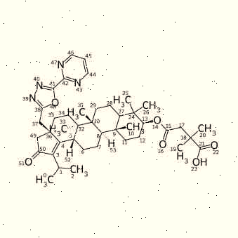 CC(C)C1=C2[C@H]3CC[C@@H]4[C@@]5(C)CC[C@H](OC(=O)CC(C)(C)C(=O)O)C(C)(C)C5CC[C@@]4(C)[C@]3(C)CC[C@@]2(Cc2nnc(-c3ncccn3)o2)CC1=O